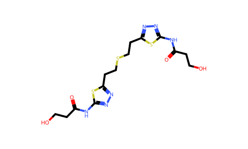 O=C(CCO)Nc1nnc(CCSCCc2nnc(NC(=O)CCO)s2)s1